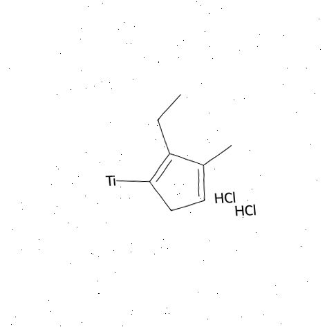 CCC1=[C]([Ti])CC=C1C.Cl.Cl